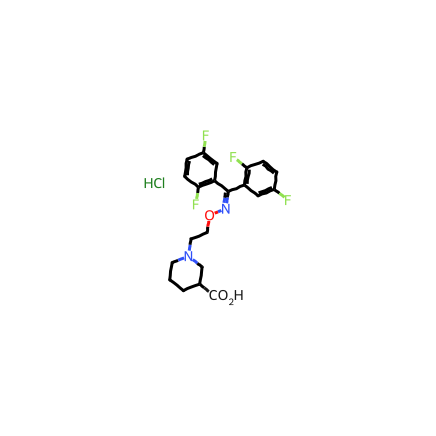 Cl.O=C(O)C1CCCN(CCON=C(c2cc(F)ccc2F)c2cc(F)ccc2F)C1